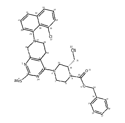 CSc1nc2c(c(N3CCN(C(=O)OCc4ccccc4)[C@@H](CC#N)C3)n1)CCN(c1cccc3cccc(Cl)c13)C2